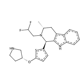 C[C@@H]1Cc2c([nH]c3ccccc23)[C@@H](c2ccc(O[C@@H]3CCNC3)s2)N1CC(F)F